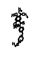 CC(C)c1cc(C(=S)Nc2ccc(CN3CCN(C)CC3)cc2)c(O)cc1O